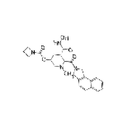 CN1C[C@@H](OC(=O)N2CCC2)C[C@H](C(=O)NO)[C@H]1C(=O)N1Cc2ccc3ccccc3c2C1